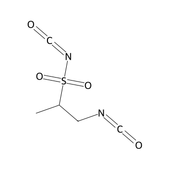 CC(CN=C=O)S(=O)(=O)N=C=O